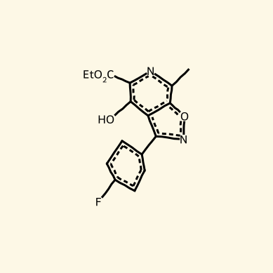 CCOC(=O)c1nc(C)c2onc(-c3ccc(F)cc3)c2c1O